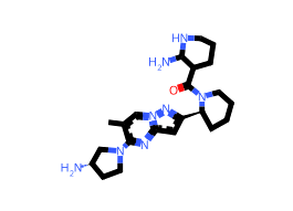 Cc1cn2nc([C@@H]3CCCCN3C(=O)C3CCCNC3N)cc2nc1N1CC[C@H](N)C1